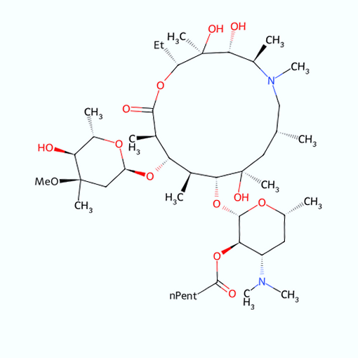 CCCCCC(=O)O[C@H]1[C@H](O[C@@H]2[C@@H](C)[C@H](O[C@H]3C[C@@](C)(OC)[C@@H](O)[C@H](C)O3)[C@@H](C)C(=O)O[C@H](CC)[C@@](C)(O)[C@H](O)[C@@H](C)N(C)C[C@H](C)C[C@@]2(C)O)O[C@H](C)C[C@@H]1N(C)C